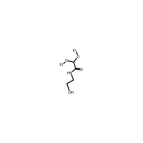 CCOC(OCC)C(=O)NCCO